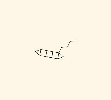 ICCCC12CC1C1C3C4CC4C3C12